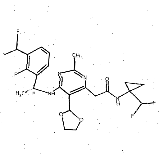 Cc1nc(CC(=O)NC2(C(F)F)CC2)c(C2OCCO2)c(N[C@H](C)c2cccc(C(F)F)c2F)n1